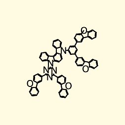 c1ccc2c(c1)oc1ccc(-c3cc(-c4ccc5oc6ccccc6c5c4)cc(-n4c5ccccc5c5c6c7ccccc7n(-c7nc(-c8ccc9oc%10ccccc%10c9c8)nc(-c8ccc9oc%10ccccc%10c9c8)n7)c6ccc54)c3)cc12